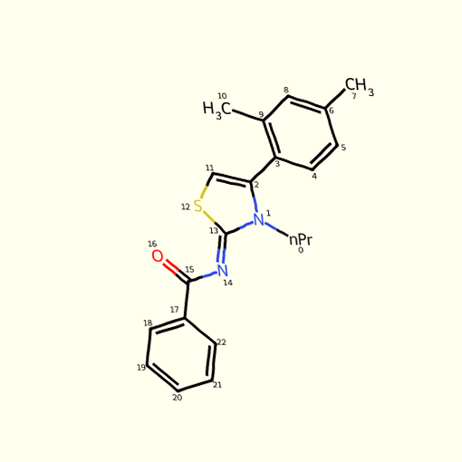 CCCn1c(-c2ccc(C)cc2C)csc1=NC(=O)c1ccccc1